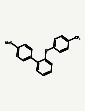 CSc1ccc(-c2ccccc2Oc2ccc(C(F)(F)F)cc2)cc1